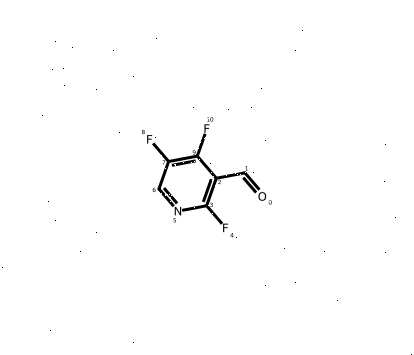 O=Cc1c(F)ncc(F)c1F